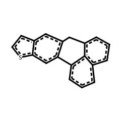 c1cc2c3c(cccc3c1)-c1cc3sccc3cc1C2